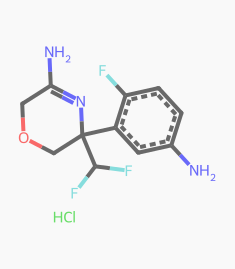 Cl.NC1=NC(c2cc(N)ccc2F)(C(F)F)COC1